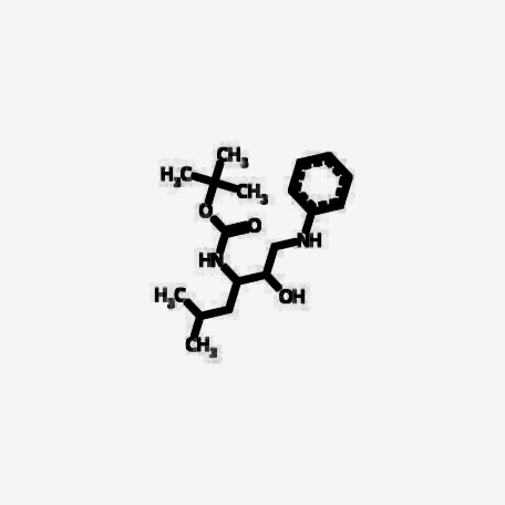 CC(C)CC(NC(=O)OC(C)(C)C)C(O)CNc1ccccc1